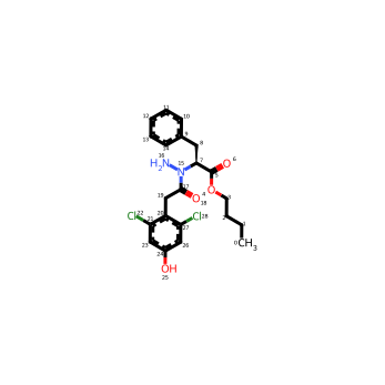 CCCCOC(=O)[C@H](Cc1ccccc1)N(N)C(=O)Cc1c(Cl)cc(O)cc1Cl